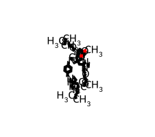 COCOCC(Cc1nccn1COCC[Si](C)(C)C)(Cc1nccn1COCC[Si](C)(C)C)CN(C)Cc1ccc(CN2CCC3(CCN(CC(C)C)CC3)C2)cc1